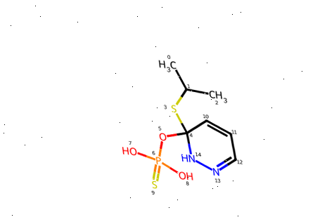 CC(C)SC1(OP(O)(O)=S)C=CC=NN1